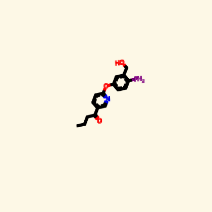 CCCC(=O)c1ccc(Oc2ccc(P)c(CO)c2)nc1